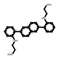 CCCCCCCCCCCCNc1ccccc1-c1ccc2cc(-c3ccccc3NCCCCCCCCCCCC)ccc2c1